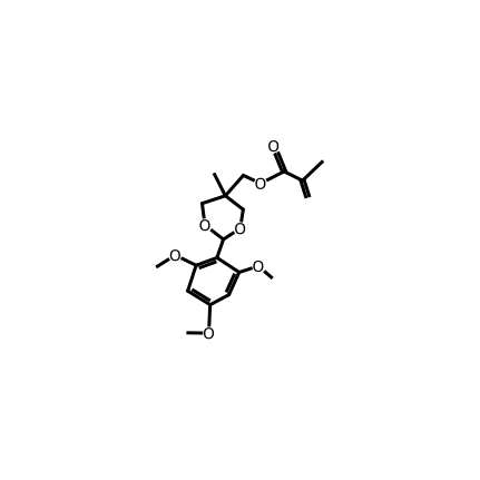 C=C(C)C(=O)OCC1(C)COC(c2c(OC)cc(OC)cc2OC)OC1